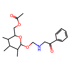 CC(=O)OCC1OC(OCNCC(=O)c2ccccc2)C(C)C(C)C1C